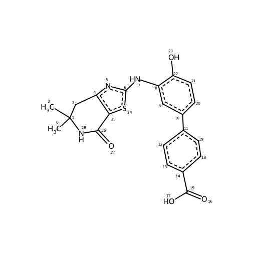 CC1(C)Cc2nc(Nc3cc(-c4ccc(C(=O)O)cc4)ccc3O)sc2C(=O)N1